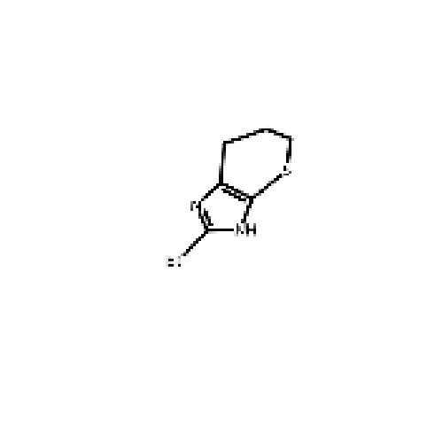 CCc1nc2c([nH]1)SCCC2